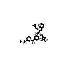 COc1cc(C(=O)N2CCCC(N)C2)cc2nc(-c3cc4cccnc4n3CC3CC3)n(CC3CC(C)C3)c12